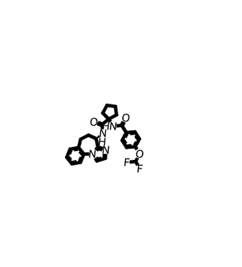 O=C(NC1(C(=O)N[C@@H]2CCc3ccccc3-n3ccnc32)CCCC1)c1ccc(OC(F)F)cc1